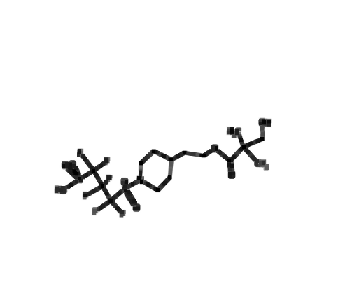 CC(C)(CO)C(=O)OCCC1CCN(S(=O)(=O)C(F)(F)C(F)(F)C(F)(F)S(=O)(=O)O)CC1